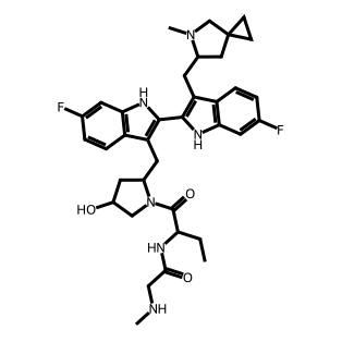 CCC(NC(=O)CNC)C(=O)N1CC(O)CC1Cc1c(-c2[nH]c3cc(F)ccc3c2CC2CC3(CC3)CN2C)[nH]c2cc(F)ccc12